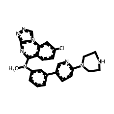 CN(c1cccc(-c2ccc(N3CCNCC3)nc2)c1)c1nc2nncn2c2cc(Cl)ccc12